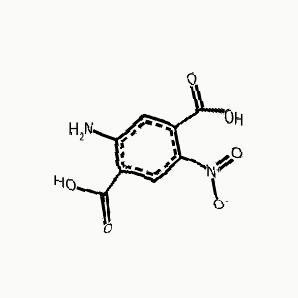 Nc1cc(C(=O)O)c([N+](=O)[O-])cc1C(=O)O